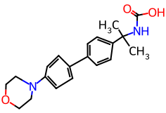 CC(C)(NC(=O)O)c1ccc(-c2ccc(N3CCOCC3)cc2)cc1